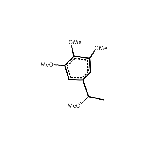 COc1cc([C@H](C)OC)cc(OC)c1OC